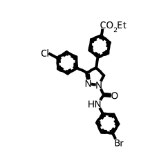 CCOC(=O)c1ccc(C2CN(C(=O)Nc3ccc(Br)cc3)N=C2c2ccc(Cl)cc2)cc1